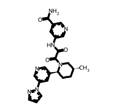 C[C@@H]1CC[C@@H](c2cncc(-n3cccn3)c2)N(C(=O)C(=O)Nc2cncc(C(N)=O)c2)C1